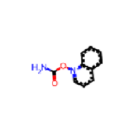 NC(=O)O[n+]1cccc2ccccc21